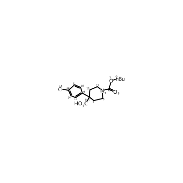 CCCCOC(=O)N1CCC(C(=O)O)(c2ccc(Cl)cc2)CC1